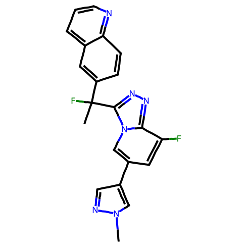 Cn1cc(-c2cc(F)c3nnc(C(C)(F)c4ccc5ncccc5c4)n3c2)cn1